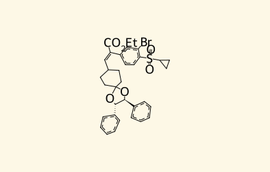 CCOC(=O)C(=CC1CCC2(CC1)O[C@@H](c1ccccc1)[C@H](c1ccccc1)O2)c1ccc(S(=O)(=O)C2CC2)c(Br)c1